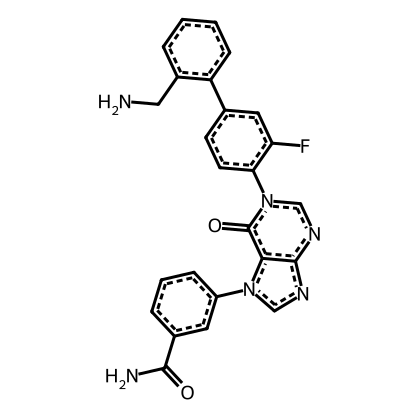 NCc1ccccc1-c1ccc(-n2cnc3ncn(-c4cccc(C(N)=O)c4)c3c2=O)c(F)c1